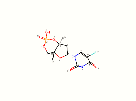 O=C1[N]C(=O)N([C@H]2C[C@@H]3OP(=O)(O)OC[C@H]3O2)C=C1F